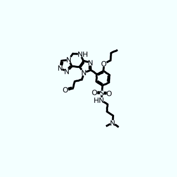 CCCOc1ccc(S(=O)(=O)NCCCN(C)C)cc1-c1nc2c(n1CCC=O)-c1nncn1CN2